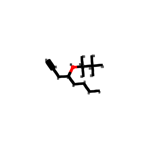 C#CCC(CCCC)O[Si](C)(C)C(C)(C)C